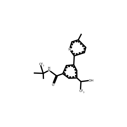 Cc1ccc(-c2cc(C(=O)NC(C)(C)C(F)(F)F)cc(C(O)C(F)(F)F)c2)nc1